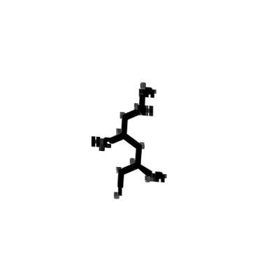 CCCNCC(C)C[C@H](CI)CCC